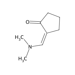 CN(C)C=C1CCCC1=O